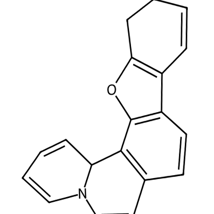 C1=CC2c3c(ccc4c5c(oc34)CCC=C5)C=CN2C=C1